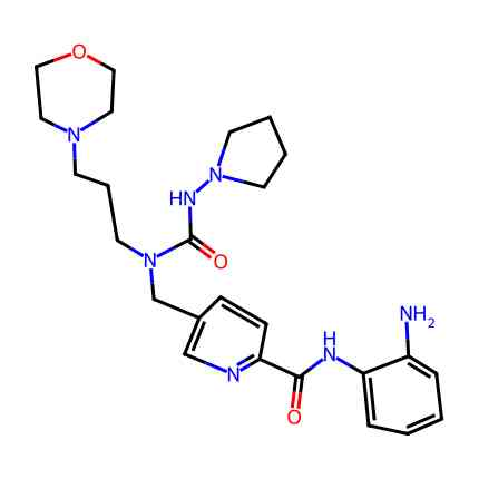 Nc1ccccc1NC(=O)c1ccc(CN(CCCN2CCOCC2)C(=O)NN2CCCC2)cn1